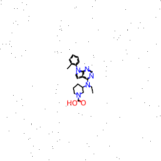 CCN(c1ncnc2c1ccn2-c1ccccc1C)C1CCCN(C(=O)O)C1